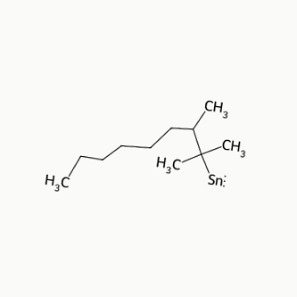 CCCCCCC(C)[C](C)(C)[Sn]